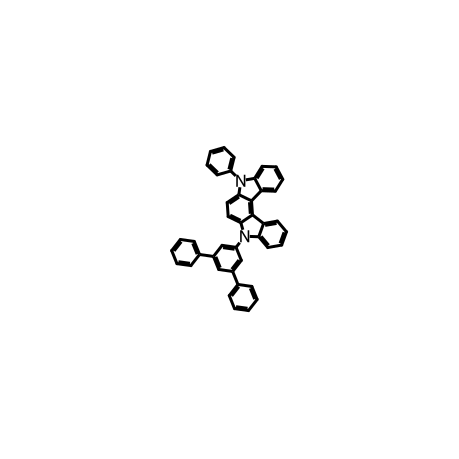 c1ccc(-c2cc(-c3ccccc3)cc(-n3c4ccccc4c4c5c6ccccc6n(-c6ccccc6)c5ccc43)c2)cc1